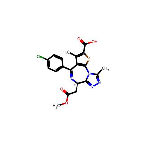 COC(=O)C[C@H]1N=C(c2ccc(Cl)cc2)c2c(sc(C(=O)O)c2C)-n2c(C)nnc21